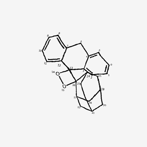 c1ccc2c(c1)Cc1ccccc1C21OOC12C1CC3CC(C1)CC2C3